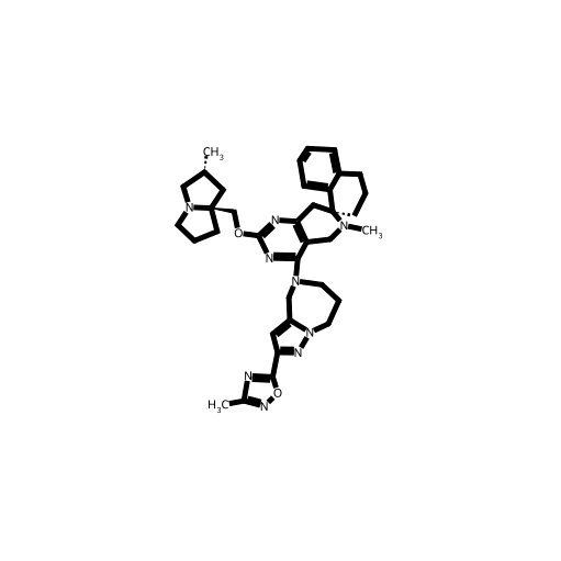 Cc1noc(-c2cc3n(n2)CCCN(c2nc(OC[C@@]45CCCN4C[C@H](C)C5)nc4c2CN(C)[C@@]2(CCCc5ccccc52)C4)C3)n1